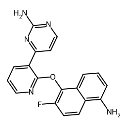 Nc1nccc(-c2cccnc2Oc2c(F)ccc3c(N)cccc23)n1